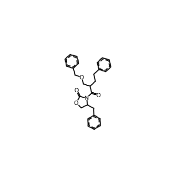 O=C1OCC(Cc2ccccc2)N1C(=O)C(CCc1ccccc1)COCc1ccccc1